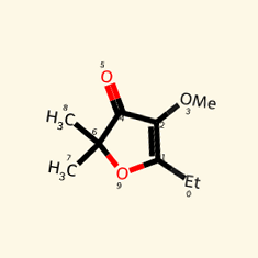 CCC1=C(OC)C(=O)C(C)(C)O1